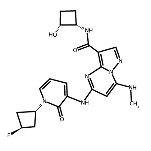 CNc1cc(Nc2cccn([C@H]3C[C@H](F)C3)c2=O)nc2c(C(=O)N[C@H]3CC[C@H]3O)cnn12